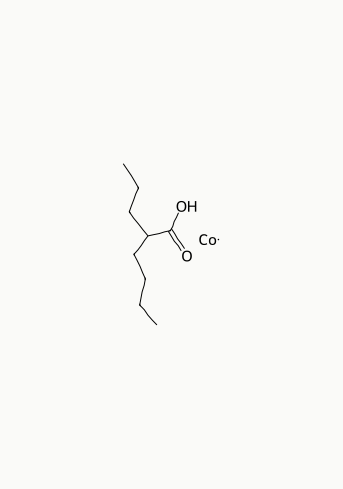 CCCCC(CCC)C(=O)O.[Co]